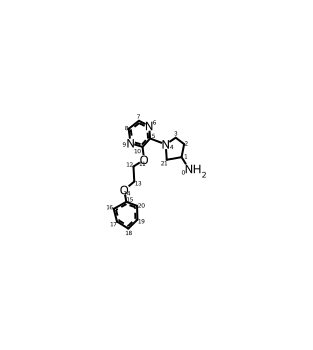 NC1CCN(c2nccnc2OCCOc2ccccc2)C1